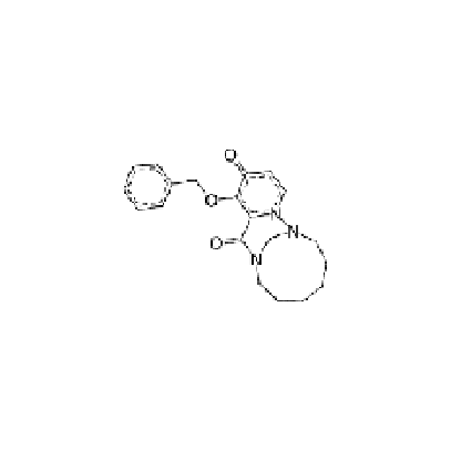 O=C1c2c(OCc3ccccc3)c(=O)ccn2N2CCCCCCN1C2